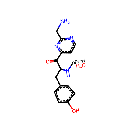 CCCCCNC(Cc1ccc(O)cc1)C(=O)c1ccnc(CN)n1.O